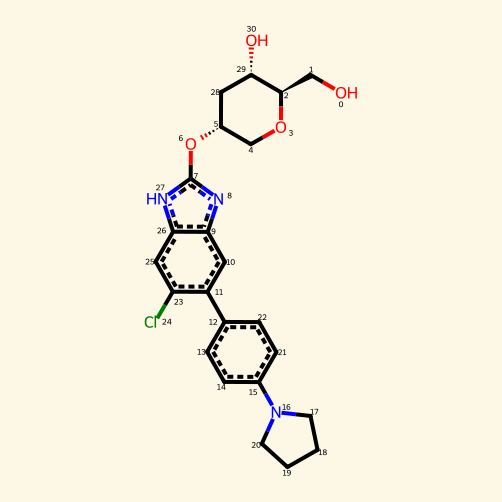 OC[C@H]1OC[C@H](Oc2nc3cc(-c4ccc(N5CCCC5)cc4)c(Cl)cc3[nH]2)C[C@@H]1O